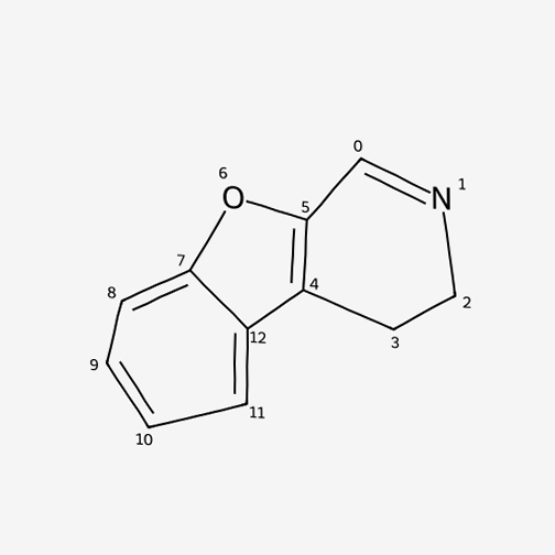 C1=NCCc2c1oc1ccccc21